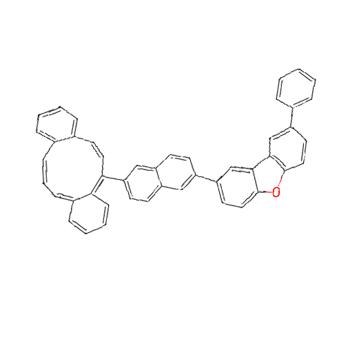 c1ccc(-c2ccc3oc4ccc(-c5ccc6cc(-c7ccc8ccccc8cccc8ccccc78)ccc6c5)cc4c3c2)cc1